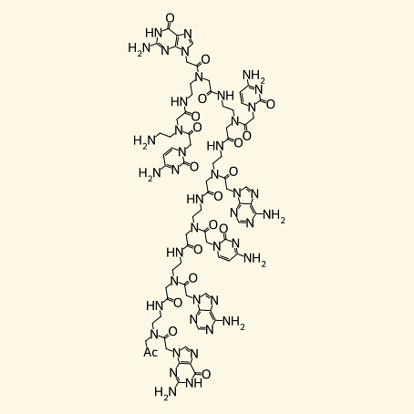 CC(=O)CN(CCNC(=O)CN(CCNC(=O)CN(CCNC(=O)CN(CCNC(=O)CN(CCNC(=O)CN(CCNC(=O)CN(CCN)C(=O)Cn1ccc(N)nc1=O)C(=O)Cn1cnc2c(=O)[nH]c(N)nc21)C(=O)Cn1ccc(N)nc1=O)C(=O)Cn1cnc2c(N)ncnc21)C(=O)Cn1ccc(N)nc1=O)C(=O)Cn1cnc2c(N)ncnc21)C(=O)Cn1cnc2c(=O)[nH]c(N)nc21